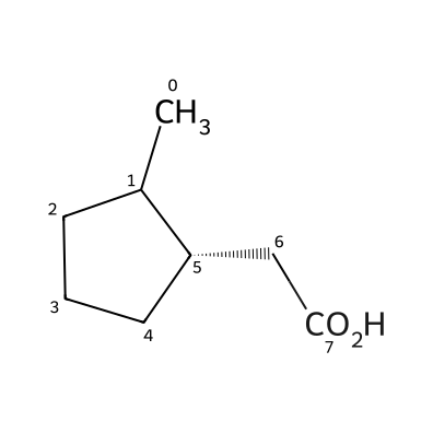 CC1CCC[C@H]1CC(=O)O